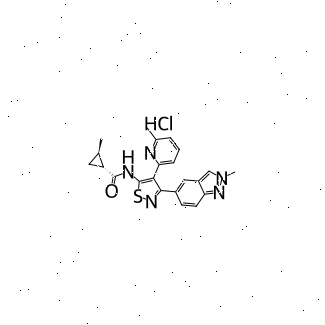 Cc1cccc(-c2c(-c3ccc4nn(C)cc4c3)nsc2NC(=O)[C@@H]2C[C@H]2C)n1.Cl